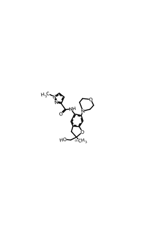 Cn1ccc(C(=O)Nc2cc3c(cc2N2CCOCC2)O[C@](C)(CO)C3)n1